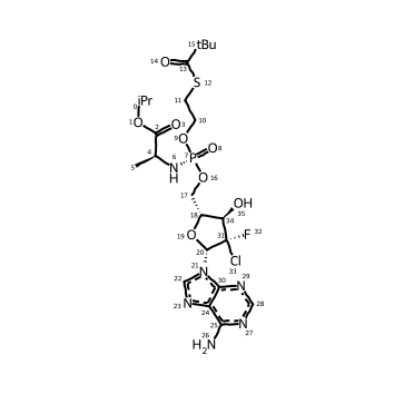 CC(C)OC(=O)[C@H](C)N[P@@](=O)(OCCSC(=O)C(C)(C)C)OC[C@H]1O[C@@H](n2cnc3c(N)ncnc32)[C@](F)(Cl)[C@@H]1O